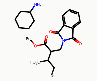 CC(C)CC(C(=O)O)C(CN1C(=O)c2ccccc2C1=O)C(=O)OC(C)(C)C.NC1CCCCC1